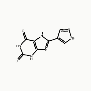 O=c1[nH]c(=O)c2[nH]c(-c3cn[nH]c3)nc2[nH]1